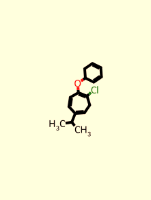 CC(C)C1=CCC(Cl)=C(OC2C=CC=CC2)C=C1